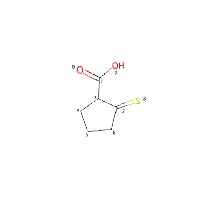 O=C(O)C1CCCC1=S